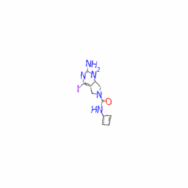 Nc1nc(I)c2c(n1)CN(C(=O)NC1=CC=C1)C2